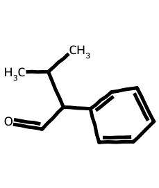 CC(C)C(C=O)c1ccccc1